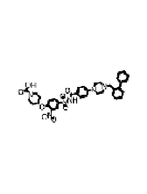 O=C(NS(=O)(=O)c1ccc(OC2CCN(C(=O)O)CC2)c([N+](=O)[O-])c1)c1ccc(N2CCN(Cc3ccccc3-c3ccccc3)CC2)cc1